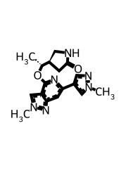 C[C@@H](Oc1nc(-c2cnn(C)c2)cc2nn(C)cc12)[C@H]1CNC(=O)C1